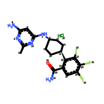 Cc1nc(N)cc(N[C@H]2CC[C@@H](c3c(C(N)=O)cc(F)c(F)c3F)CC2)n1.Cl